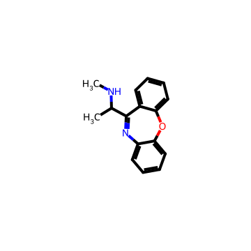 CNC(C)C1=Nc2ccccc2Oc2ccccc21